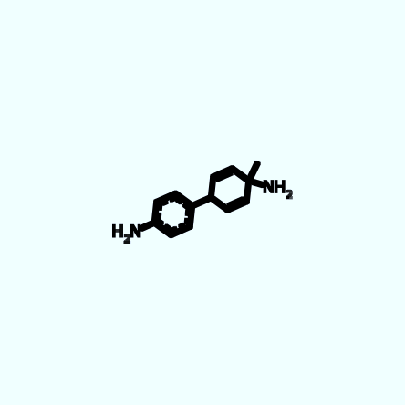 CC1(N)C=CC(c2ccc(N)cc2)C=C1